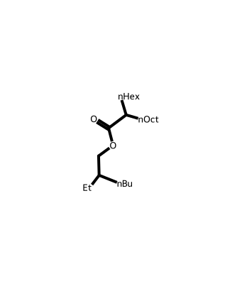 CCCCCCCCC(CCCCCC)C(=O)OCC(CC)CCCC